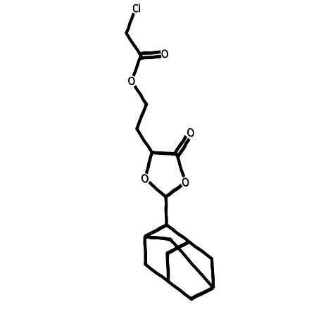 O=C(CCl)OCCC1OC(C2C3CC4CC(C3)CC2C4)OC1=O